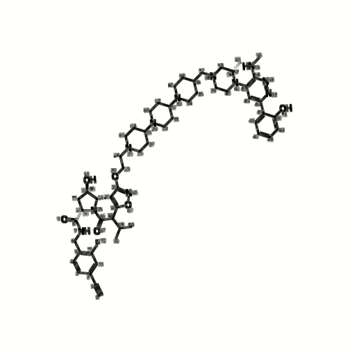 C#Cc1ccc(CNC(=O)[C@@H]2C[C@@H](O)CN2C(=O)C(c2cc(OCCN3CCC(N4CCC(N5CCC(CN6CCN(c7cc(-c8ccccc8O)nnc7NC)[C@@H](C)C6)CC5)CC4)CC3)no2)C(C)C)c(F)c1